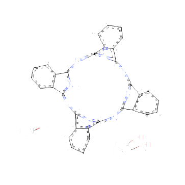 O[SiH3].[OH][AlH2].[OH][GaH2].c1ccc2c(c1)-c1nc-2nc2[nH]c(nc3nc(nc4[nH]c(n1)c1ccccc41)-c1ccccc1-3)c1ccccc21